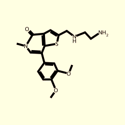 COc1ccc(-c2cn(C)c(=O)c3cc(CNCCN)sc23)cc1OC